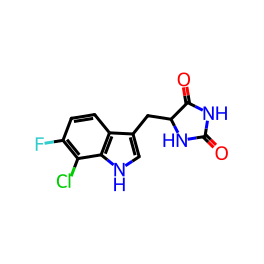 O=C1NC(=O)C(Cc2c[nH]c3c(Cl)c(F)ccc23)N1